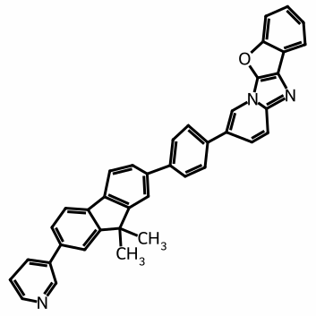 CC1(C)c2cc(-c3ccc(-c4ccc5nc6c7ccccc7oc6n5c4)cc3)ccc2-c2ccc(-c3cccnc3)cc21